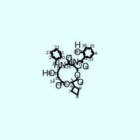 C[C@H]1OC(=O)C(C2CCC2)OC(=O)[C@H](C)[C@H](O)[C@H](Cc2ccccc2)NC(=O)[C@H]1NC(=O)c1ccccc1O